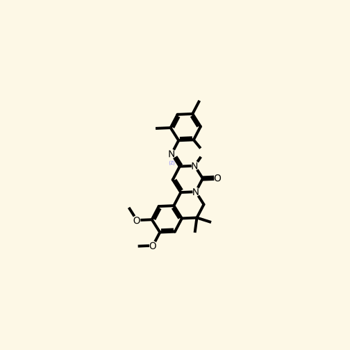 COc1cc2c(cc1OC)C(C)(C)Cn1c-2c/c(=N/c2c(C)cc(C)cc2C)n(C)c1=O